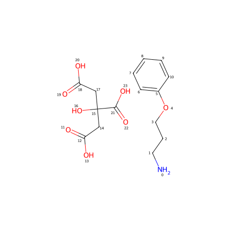 NCCCOc1ccccc1.O=C(O)CC(O)(CC(=O)O)C(=O)O